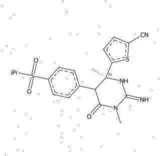 CC(C)S(=O)(=O)c1ccc(C2C(=O)N(C)C(=N)N[C@]2(C)c2ccc(C#N)s2)cc1